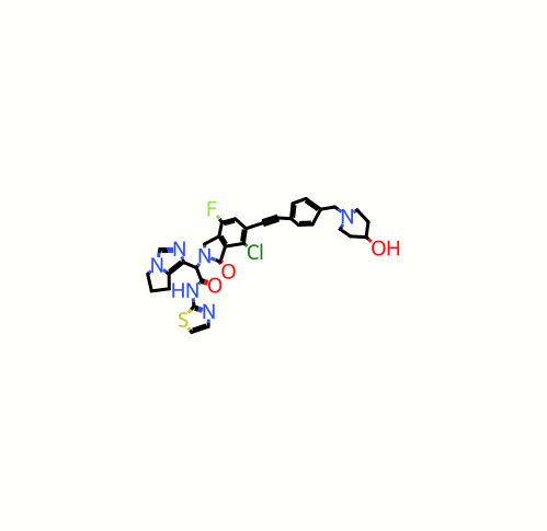 O=C(Nc1nccs1)C(c1ncn2c1CCC2)N1Cc2c(F)cc(C#Cc3ccc(CN4CCC(O)CC4)cc3)c(Cl)c2C1=O